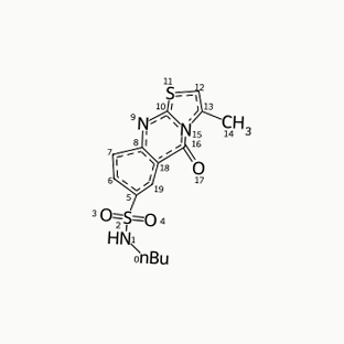 CCCCNS(=O)(=O)c1ccc2nc3scc(C)n3c(=O)c2c1